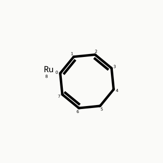 C1=CC=CCCC=C1.[Ru]